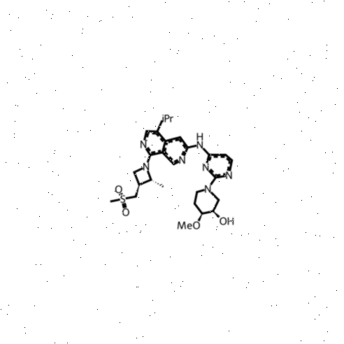 CO[C@H]1CCN(c2nccc(Nc3cc4c(C(C)C)cnc(N5C[C@H](CS(C)(=O)=O)[C@H]5C)c4cn3)n2)C[C@H]1O